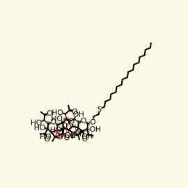 CCCCCCCCCCCCCCCCCCSCCO[C@H]1O[C@H](C(O)C(C)=O)[C@](O)([C@@H]2O[C@H](C(O)C(C)=O)[C@@](O)([C@@H]3O[C@H](C(O)C(C)=O)[C@@](O)(C(C)=O)[C@@](O)(C(C)=O)[C@]3(O)C(C)=O)[C@@](O)(C(C)=O)[C@]2(O)C(C)=O)[C@@](O)(C(C)=O)[C@]1(O)C(C)=O